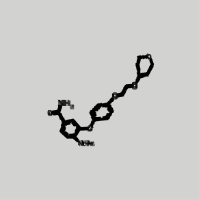 CC(=O)Nc1ccc(C(N)=O)cc1Oc1ccc(OCCOC2CCOCC2)cc1